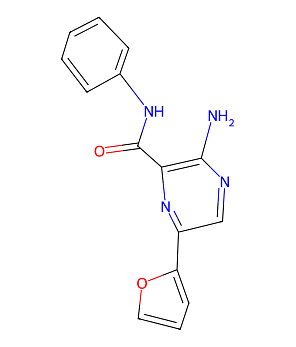 Nc1ncc(-c2ccco2)nc1C(=O)Nc1ccccc1